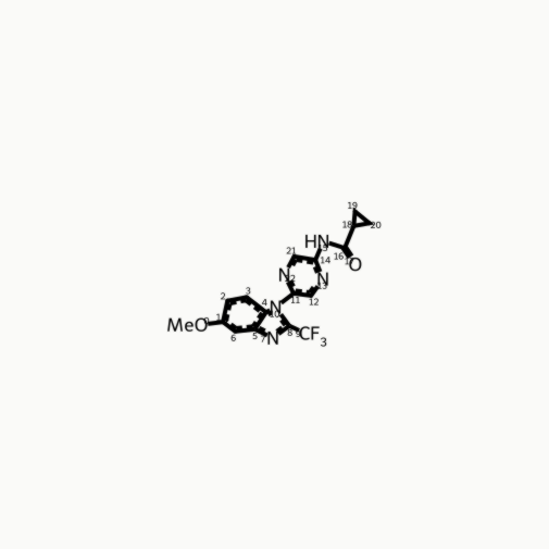 COc1ccc2c(c1)nc(C(F)(F)F)n2-c1cnc(NC(=O)C2CC2)cn1